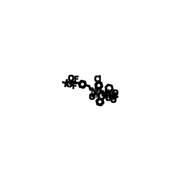 CC(C)(C)OC(=O)C(F)(F)c1ccc(CCNC(=O)[C@@H]2c3ccccc3C(=O)N([C@H]3CCCC[C@@H]3NS(C)(=O)=O)[C@H]2c2ccc(Cl)cc2)cc1